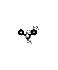 CCOC(=O)N1C(c2cccc([N+](=O)[O-])c2)=CC(C)=NC1c1ccccc1